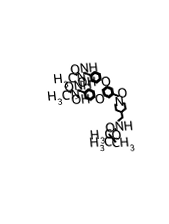 CC(=O)N(O)C(=N)c1ccc(Oc2cc(Oc3ccc(C(=N)N(O)C(C)=O)cc3)cc(C(=O)N3CCC(CCNC(=O)OC(C)(C)C)CC3)c2)cc1